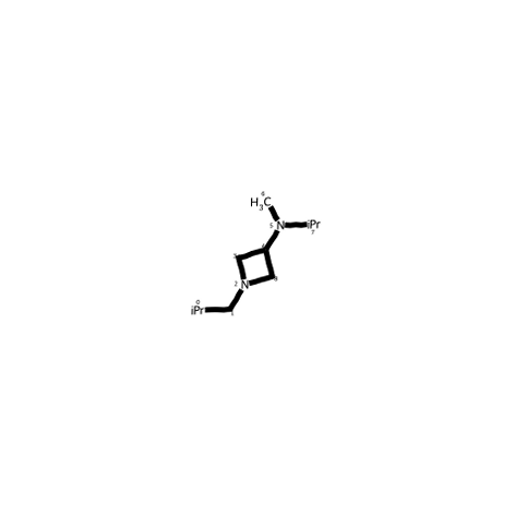 CC(C)CN1CC(N(C)C(C)C)C1